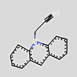 C#CC[n+]1c2ccccc2cc2ccccc21